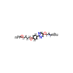 CCCC/C=C/COc1cnc(-c2ccc(OCCCCOCCC)cc2)nc1